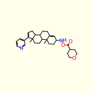 CC12CCC(NOC(=O)C3CCOCC3)C=C1CCC1C2CCC2(C)C(c3cccnc3)=CCC12